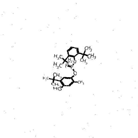 Cc1cc(O)c(C(C)(C)C)cc1OP(F)Oc1c(C(C)(C)C)cccc1C(C)(C)C